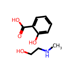 CNCCO.O=C(O)c1ccccc1O